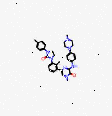 Cc1ccc(N2CCN(c3cccc(-c4cn(C)c(=O)c(Nc5ccc(N6CCN(C)CC6)cc5)n4)c3C)C2=O)cc1